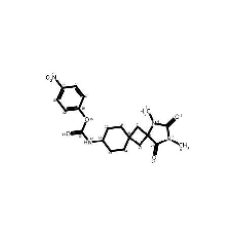 CN1C(=O)N(C)C2(CC3(CCC(NC(=O)Oc4ccc([N+](=O)[O-])cc4)CC3)C2)C1=O